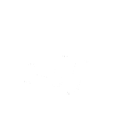 CC(C)c1cc2nccc(C(C)C)c2s1